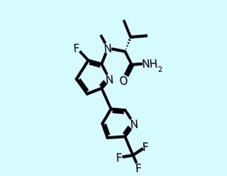 CC(C)[C@H](C(N)=O)N(C)c1nc(-c2ccc(C(F)(F)F)nc2)ccc1F